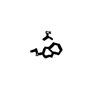 C=C(C)C#N.C=COc1ccc2ccccc2c1